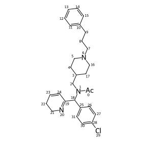 CC(=O)N(CC1CCN(CCCc2ccccc2)CC1)C(C1=NCCC=C1)c1ccc(Cl)cc1